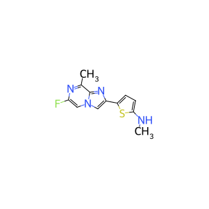 CNc1ccc(-c2cn3cc(F)nc(C)c3n2)s1